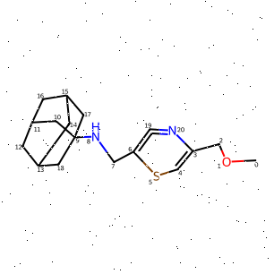 COCC1=CSC(CNC23CC4CC(CC(C4)C2)C3)=C=N1